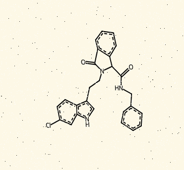 O=C(NCc1ccccc1)C1c2ccccc2C(=O)N1CCc1c[nH]c2cc(Cl)ccc12